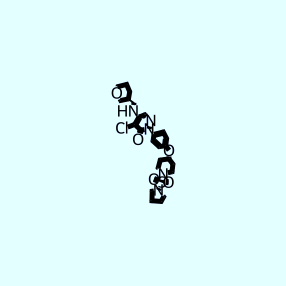 O=c1c(Cl)c(NC[C@@H]2CCCOC2)cnn1-c1ccc(OC2CCN(S(=O)(=O)N3CCCC3)CC2)cc1